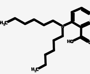 CCCCCCN(CCCCCC)c1ccccc1C(=O)O